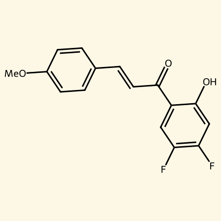 COc1ccc(/C=C/C(=O)c2cc(F)c(F)cc2O)cc1